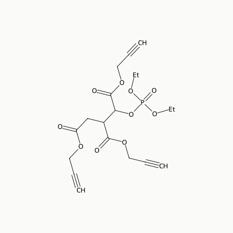 C#CCOC(=O)CC(C(=O)OCC#C)C(OP(=O)(OCC)OCC)C(=O)OCC#C